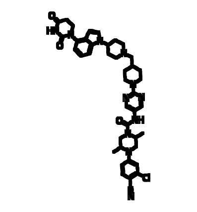 CC1CN(c2ccc(C#N)c(Cl)c2)C(C)CN1C(=O)Nc1cnc(N2CCC(CN3CCC(n4ccc5c(N6CCC(=O)NC6=O)cccc54)CC3)CC2)nc1